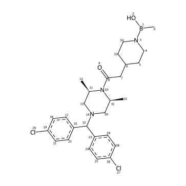 CB(O)N1CCC(CC(=O)N2[C@H](C)CN(C(c3ccc(Cl)cc3)c3ccc(Cl)cc3)C[C@@H]2C)CC1